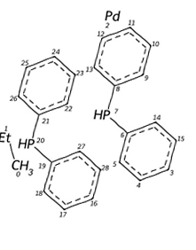 CCC.[Pd].c1ccc(Pc2ccccc2)cc1.c1ccc(Pc2ccccc2)cc1